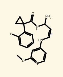 COc1cc(N/C=C\C(N)NC(=O)C2(c3ccccc3F)CC2)ccn1